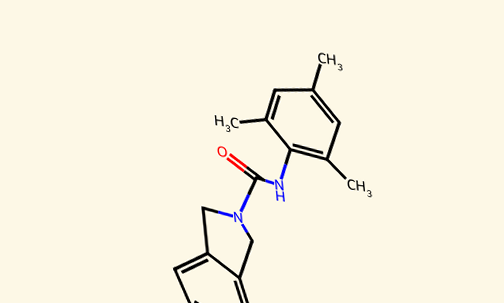 Cc1cc(C)c(NC(=O)N2Cc3ccccc3C2)c(C)c1